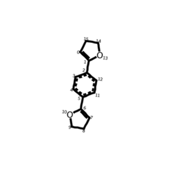 C1=C(c2ccc(C3=CCCO3)cc2)OCC1